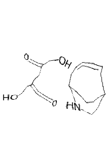 C1=CC2CC1CN2.O=C(O)C(=O)O